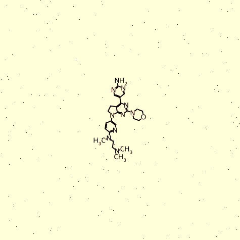 CN(C)CCN(C)c1ccc(N2CCc3c(-c4cnc(N)nc4)nc(N4CCOCC4)nc32)cn1